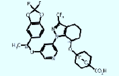 C[C@H](Oc1cncc(-n2nc(C(F)(F)F)c3c2[C@H](OC24CCC(C(=O)O)(CC2)CC4)CCC3)c1)c1ccc2c(c1)OC(F)(F)O2